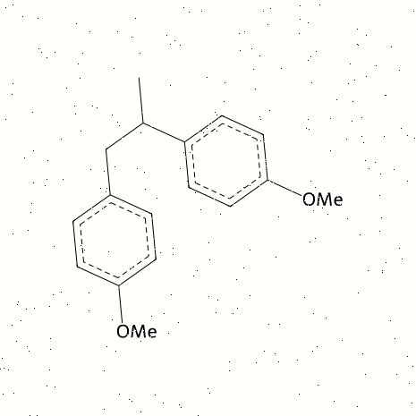 COc1ccc(CC(C)c2ccc(OC)cc2)cc1